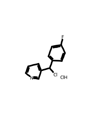 Cl.Fc1ccc(C(Cl)c2cccnc2)cc1